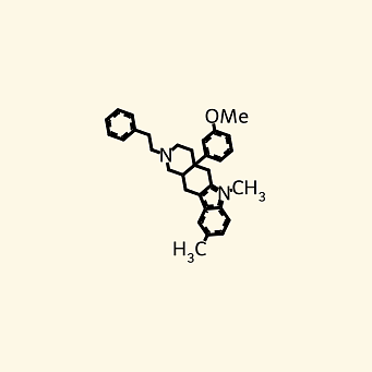 COc1cccc(C23CCN(CCc4ccccc4)CC2Cc2c(n(C)c4ccc(C)cc24)C3)c1